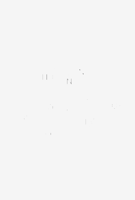 CC(=O)OCc1c(C(C)=O)cnn1C